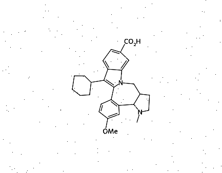 COc1ccc2c(c1)C1C(CCN1C)Cn1c-2c(C2CCCCC2)c2ccc(C(=O)O)cc21